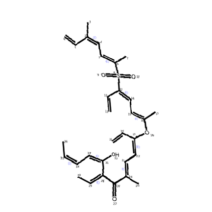 C=C/C(C)=C\C=C(/C)S(=O)(=O)/C(C=C)=C/C=C(\C)O/C(C=C)=C/C=C(\C)C(=O)C(=C/C)/C(O)=C\C=C/C